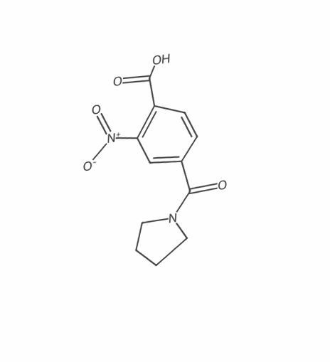 O=C(O)c1ccc(C(=O)N2CCCC2)cc1[N+](=O)[O-]